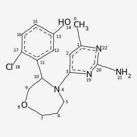 Cc1cc(N2CCCOCC2c2cc(O)ccc2Cl)nc(N)n1